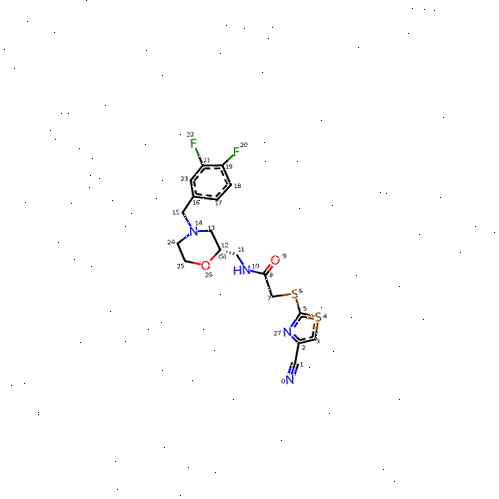 N#Cc1csc(SCC(=O)NC[C@H]2CN(Cc3ccc(F)c(F)c3)CCO2)n1